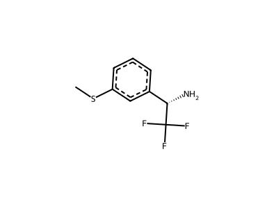 CSc1cccc([C@H](N)C(F)(F)F)c1